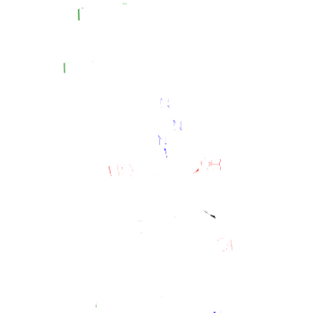 N#Cc1cc(Cl)cc(S[C@H]2O[C@H](CO)[C@H](O)[C@H](n3cc(-c4cc(F)c(F)c(F)c4)nn3)[C@H]2O)c1